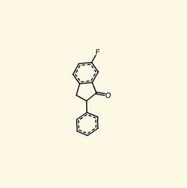 O=C1c2cc(F)ccc2CC1c1ccccc1